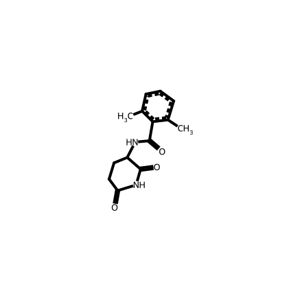 Cc1cccc(C)c1C(=O)NC1CCC(=O)NC1=O